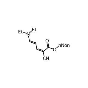 CCCCCCCCCOC(=O)/C(C#N)=C\C=C\N(CC)CC